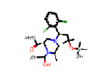 COC(=O)[C@H]1CN([C@H](CC(C)(C)O[Si](C)(C)C(C)(C)C)c2c(F)cccc2F)C[C@@H](C)N1C(O)C(C)C